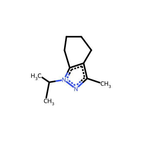 Cc1nn(C(C)C)c2c1CCCC2